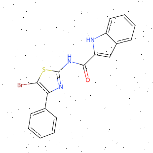 O=C(Nc1nc(-c2ccccc2)c(Br)s1)c1cc2ccccc2[nH]1